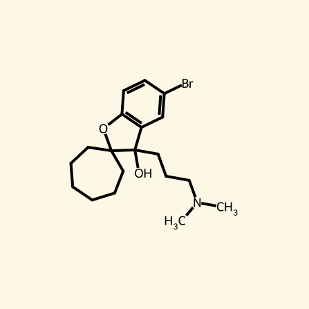 CN(C)CCCC1(O)c2cc(Br)ccc2OC12CCCCCC2